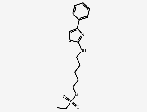 CCS(=O)(=O)NCCCCCNc1nc(-c2ccccn2)cs1